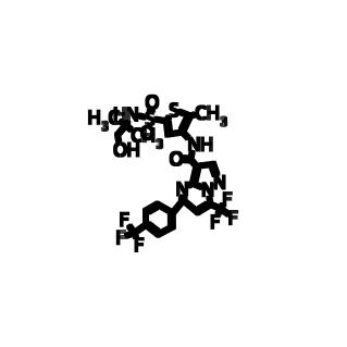 Cc1sc(S(=O)(=O)NC(C)(C)CO)cc1NC(=O)c1cnn2c(C(F)(F)F)cc(-c3ccc(C(F)(F)F)cc3)nc12